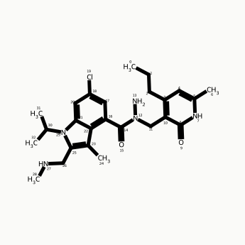 CCCc1cc(C)[nH]c(=O)c1CN(N)C(=O)c1cc(Cl)cc2c1c(C)c(CNC)n2C(C)C